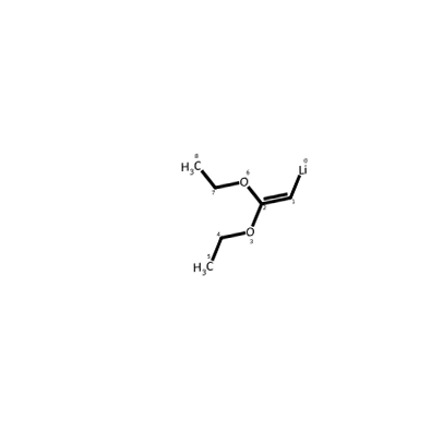 [Li][CH]=C(OCC)OCC